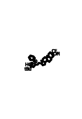 CC(C)(C)C(O)CC(CCC1CCC2C3CCC4C[C@](O)(C(F)(F)F)CCC4(C)C3CCC12C)S(=O)(=O)c1ccccc1